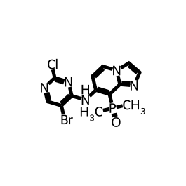 CP(C)(=O)c1c(Nc2nc(Cl)ncc2Br)ccn2ccnc12